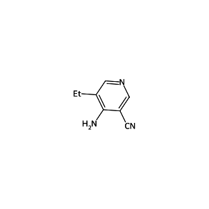 CCc1cncc(C#N)c1N